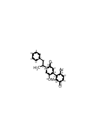 COc1cn(C(C)Cc2ccccc2)c(=O)cc1-c1cc(Cl)ccc1C(C)=O